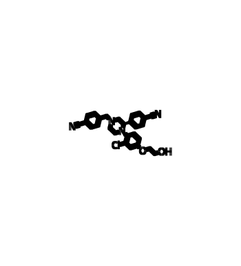 N#Cc1ccc(CN2CCN(c3ccc(OCCO)cc3Cl)[C@H](c3ccc(C#N)cc3)C2)cc1